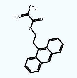 C=C(C)C(=O)OCCc1c2ccccc2cc2ccccc12